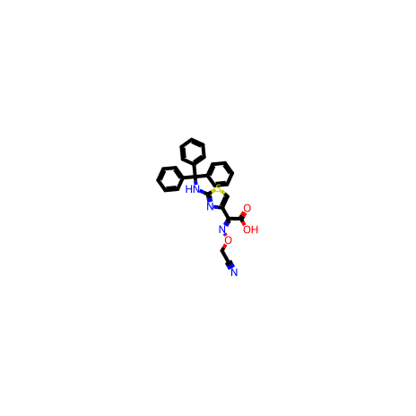 N#CCON=C(C(=O)O)c1csc(NC(c2ccccc2)(c2ccccc2)c2ccccc2)n1